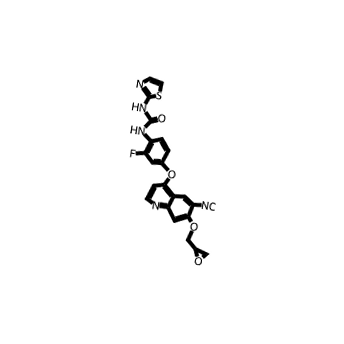 [C-]#[N+]c1cc2c(Oc3ccc(NC(=O)Nc4nccs4)c(F)c3)ccnc2cc1OCC1CO1